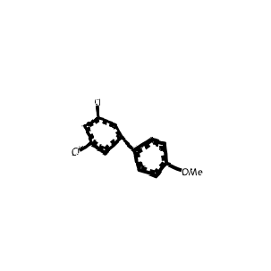 COc1ccc(-c2cc(Cl)[c]c(Cl)c2)cc1